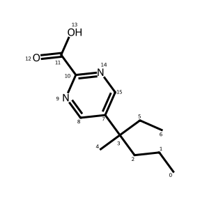 CCCC(C)(CC)c1cnc(C(=O)O)nc1